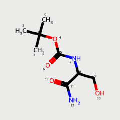 CC(C)(C)OC(=O)NC(CO)C(N)=O